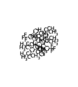 CC(C)(C)c1cc(C(C)(C)C)c(-c2cc3c4c(cc5c(-c6c(C(C)(C)C)cc(C(C)(C)C)cc6C(C)(C)C)cc6c7c(cc2c4c57)B2c4ccccc4-c4cc(C(F)(F)F)cc-6c42)B2c4ccccc4-c4cc(C(F)(F)F)cc-3c42)c(C(C)(C)C)c1